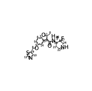 Cc1oc2ccc(OCc3cncs3)cc2c1C(=O)NC1CCNCC1(F)F